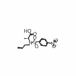 C=CCCN([C@@H](C)C(=O)O)S(=O)(=O)c1ccc([N+](=O)[O-])cc1